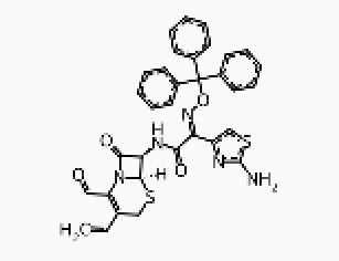 C=CC1=C(C=O)N2C(=O)[C@@H](NC(=O)C(=NOC(c3ccccc3)(c3ccccc3)c3ccccc3)c3csc(N)n3)[C@H]2SC1